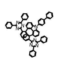 c1ccc(-c2ccc(-n3c4cccc(-c5ccccc5-c5nc(-c6ccccc6)nc(-c6ccccc6)n5)c4c4c(-c5ccccc5-c5nc(-c6ccccc6)nc(-c6ccccc6)n5)cccc43)cc2)cc1